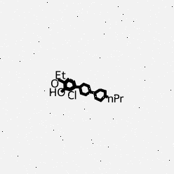 CCCC1CCC(C2CCC(c3ccc(C(=O)CC)c(O)c3Cl)CC2)CC1